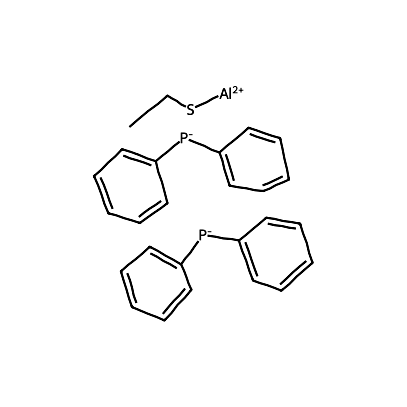 CC[S][Al+2].c1ccc([P-]c2ccccc2)cc1.c1ccc([P-]c2ccccc2)cc1